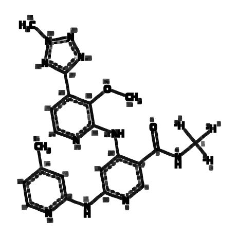 [2H]C([2H])([2H])NC(=O)c1cnc(Nc2cc(C)ccn2)cc1Nc1nccc(-c2nnn(C)n2)c1OC